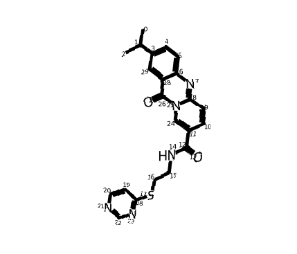 CC(C)c1ccc2nc3ccc(C(=O)NCCSc4ccncn4)cn3c(=O)c2c1